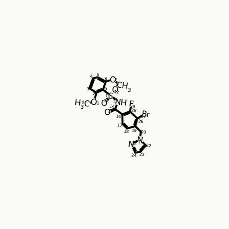 COc1cccc(OC)c1S(=O)(=O)NC(=O)c1ccc(Cn2cccn2)c(Br)c1F